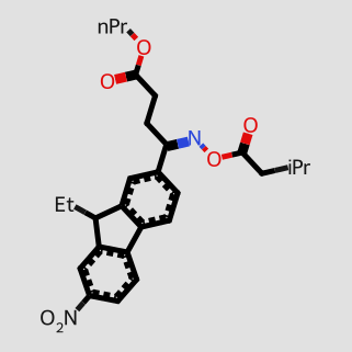 CCCOC(=O)CC/C(=N/OC(=O)CC(C)C)c1ccc2c(c1)C(CC)c1cc([N+](=O)[O-])ccc1-2